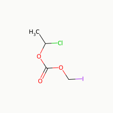 CC(Cl)OC(=O)OCI